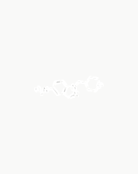 O=[N+]([O-])c1ccc2c(cnn2CC2CCOCC2)c1